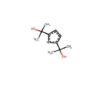 CC(C)(O)c1ccc(C(C)(C)O)[te]1